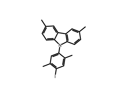 Cc1ccc2c(c1)c1cc(C)ccc1n2-c1cc(C)c(I)cc1C